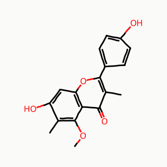 COc1c(C)c(O)cc2oc(-c3ccc(O)cc3)c(C)c(=O)c12